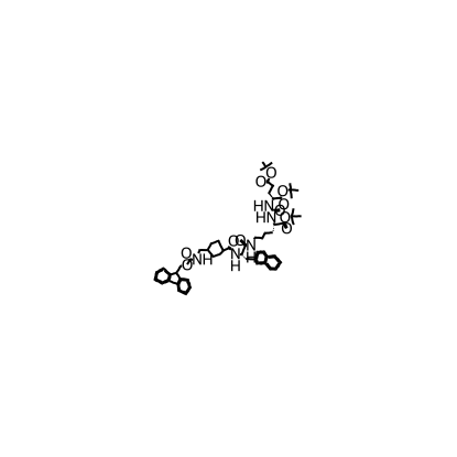 CC(C)(C)OC(=O)CC[C@H](NC(=O)N[C@@H](CCCCNC(=O)[C@H](Cc1ccc2ccccc2c1)NC(=O)C1CCC(CNC(=O)OCC2c3ccccc3-c3ccccc32)CC1)C(=O)OC(C)(C)C)C(=O)OC(C)(C)C